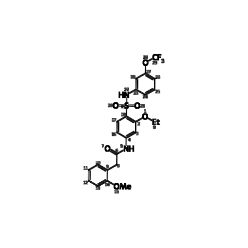 CCOc1cc(NC(=O)Cc2ccccc2OC)ccc1S(=O)(=O)Nc1cccc(OC(F)(F)F)c1